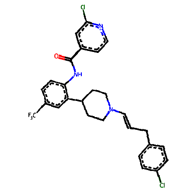 O=C(Nc1ccc(C(F)(F)F)cc1C1CCN(/C=C/Cc2ccc(Cl)cc2)CC1)c1ccnc(Cl)c1